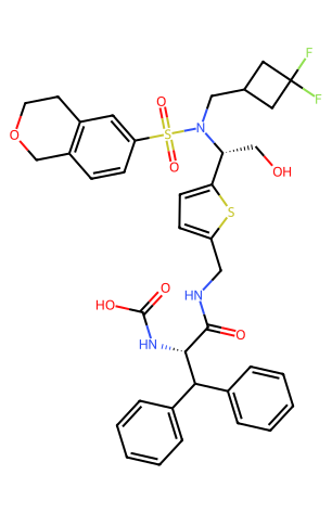 O=C(O)N[C@H](C(=O)NCc1ccc([C@@H](CO)N(CC2CC(F)(F)C2)S(=O)(=O)c2ccc3c(c2)CCOC3)s1)C(c1ccccc1)c1ccccc1